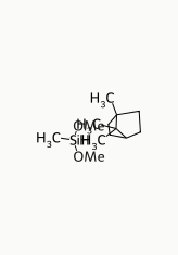 CC12CCC(CC1)C2(C)C.CO[SiH](C)OC